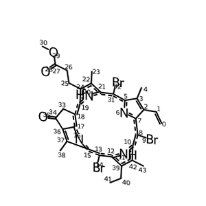 C=CC1=C(C)c2nc1c(Br)c1[nH]c(c(Br)c3nc4c(c5[nH]c(c(C)c5CCC(=O)OC)c2Br)CC(=O)C4=C3C)c(CC)c1C